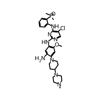 COc1cc(N2CCC(N3CCN(C)CC3)CC2)c(N)cc1Nc1ncc(Cl)c(Nc2ccccc2P(C)(C)=O)n1